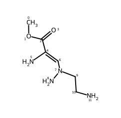 COC(=O)/C(N)=C/N(N)CCN